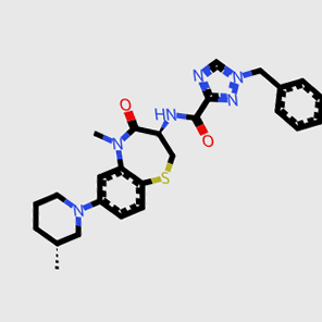 C[C@@H]1CCCN(c2ccc3c(c2)N(C)C(=O)[C@@H](NC(=O)c2ncn(Cc4ccccc4)n2)CS3)C1